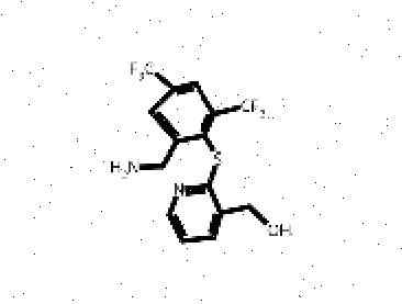 NCc1cc(C(F)(F)F)cc(C(F)(F)F)c1Sc1ncccc1CO